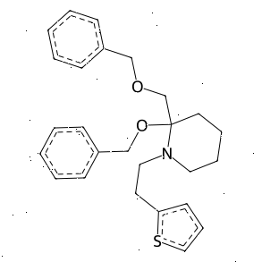 c1ccc(COCC2(OCc3ccccc3)CCCCN2CCc2cccs2)cc1